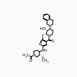 CC[C@@H]1CN(C(C)=O)CCC1Nc1cc(C(=O)N2CC[C@H](N3CCc4ccccc4C3)[C@@H](O)C2)c(F)cn1